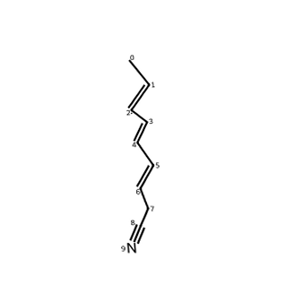 C/C=[C]/C=CC=CCC#N